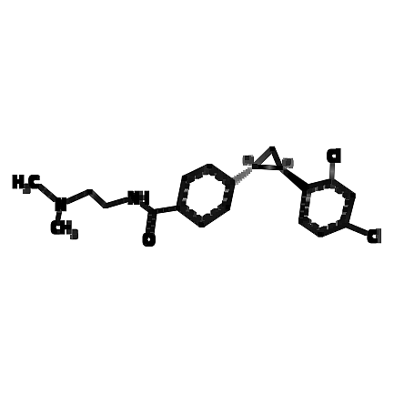 CN(C)CCNC(=O)c1ccc([C@@H]2C[C@H]2c2ccc(Cl)cc2Cl)cc1